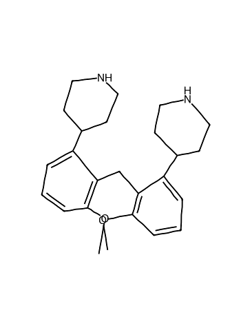 COc1cccc(C2CCNCC2)c1Cc1c(OC)cccc1C1CCNCC1